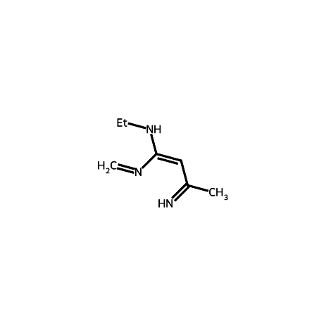 C=N/C(=C\C(C)=N)NCC